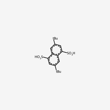 CC(C)(C)c1cc(S(=O)(=O)O)c2cc(C(C)(C)C)cc(S(=O)(=O)O)c2c1